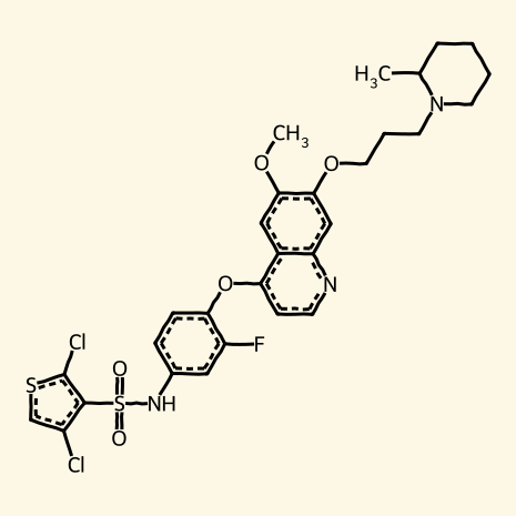 COc1cc2c(Oc3ccc(NS(=O)(=O)c4c(Cl)csc4Cl)cc3F)ccnc2cc1OCCCN1CCCCC1C